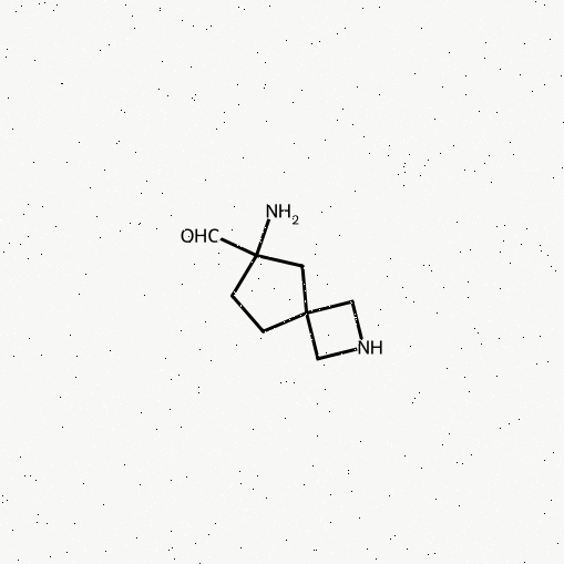 NC1(C=O)CCC2(CNC2)C1